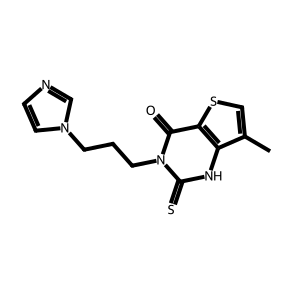 Cc1csc2c(=O)n(CCCn3ccnc3)c(=S)[nH]c12